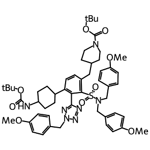 COc1ccc(CN(Cc2ccc(OC)cc2)S(=O)(=O)c2c(CC3CCN(C(=O)OC(C)(C)C)CC3)ccc(C3CCC(NC(=O)OC(C)(C)C)CC3)c2-c2nnn(Cc3ccc(OC)cc3)n2)cc1